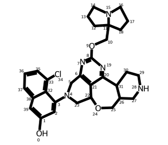 Oc1cc(N2Cc3nc(OCC45CCCN4CCC5)nc4c3C(C2)OCC2CNCCC42)c2c(Cl)cccc2c1